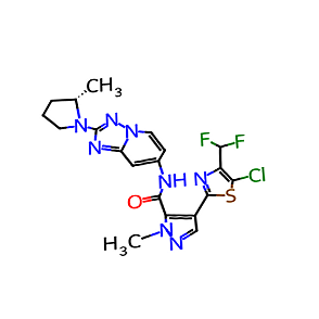 C[C@H]1CCCN1c1nc2cc(NC(=O)c3c(-c4nc(C(F)F)c(Cl)s4)cnn3C)ccn2n1